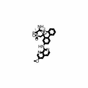 COc1cnc2c(Nc3ccc(-c4ccccc4F)c([C@]4(C)CS(=O)(=O)[C@@](C)(F)C(N)=N4)c3)nccc2c1